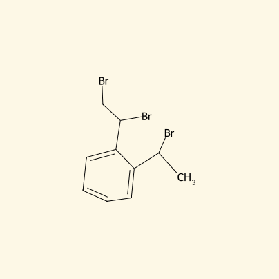 CC(Br)c1ccccc1C(Br)CBr